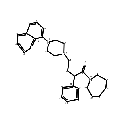 O=C(C(CCN1CCN(c2cccc3cccnc23)CC1)c1ccccc1)N1CCCCCC1